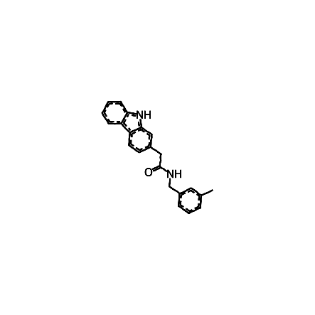 Cc1cccc(CNC(=O)Cc2ccc3c(c2)[nH]c2ccccc23)c1